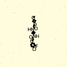 CO[C@H]1C[C@@H](OCC(=O)NC23CC(NC(=O)COc4ccc(Cl)c(F)c4)(C2)C3)C1